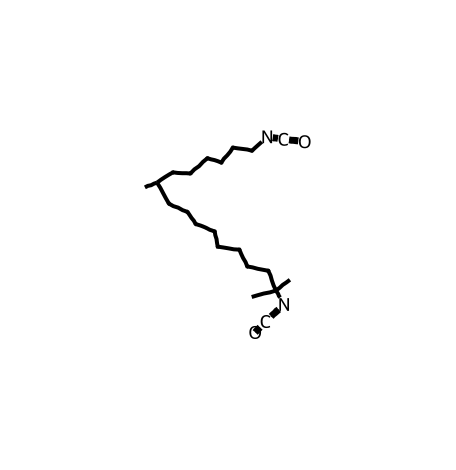 CC(CCCCCCCCC(C)(C)N=C=O)CCCCCCN=C=O